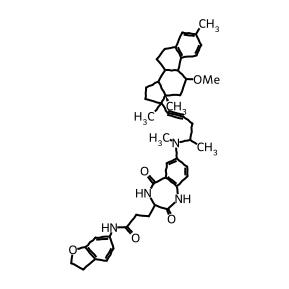 COC1C[C@@]2(C)C(CCC2(C)C#CCC(C)N(C)c2ccc3c(c2)C(=O)NC(CCC(=O)Nc2ccc4c(c2)OCC4)C(=O)N3)C2CCc3cc(C)ccc3C12